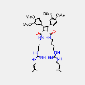 COc1ccc([C@@H]2[C@@H](C(=O)NCCCCNC(=N)NCC=C(C)C)[C@@H](C(=O)NCCCCNC(=N)NCC=C(C)C)[C@@H]2c2ccc(OC)c(OC)c2)cc1OC